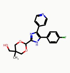 CC1(CO)COC(c2nc(-c3ccncc3)c(-c3ccc(F)cc3)[nH]2)OC1